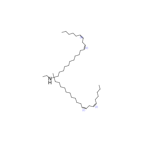 CCCCC/C=C\C/C=C\CCCCCCCCCCC(C)(CCCCCCCCCC/C=C\C/C=C\CCCCC)NCC